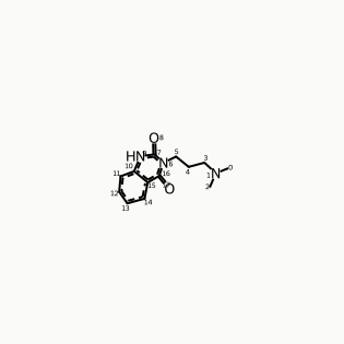 CN(C)CCCn1c(=O)[nH]c2ccccc2c1=O